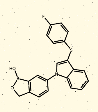 OB1OCc2ccc(-n3cc(Sc4ccc(F)cc4)c4ccccc43)cc21